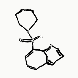 O=S(=O)(c1cccc2cccnc12)N1CC[CH]CC1